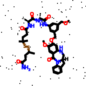 COCc1cc(COc2cc3c(cc2OC)C(=O)N2c4ccccc4C[C@H]2CN3)cc(NC(=O)[C@@H](C)NC(=O)[C@H](C)NC(=O)CCC(C)(C)SSC(C)CCC(N)=O)c1